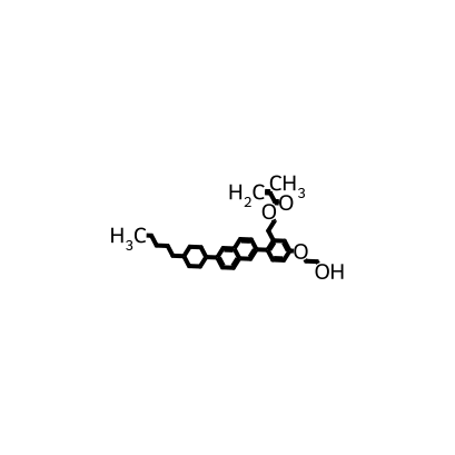 C=C(C)C(=O)OCCc1cc(OCCO)ccc1-c1ccc2cc(C3CCC(CCCCC)CC3)ccc2c1